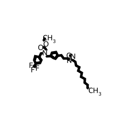 CCCCCCCCCCCc1noc(CCc2ccc(CN(CC(=O)OCC)Cc3ccc(C(F)(F)F)cc3)cc2)n1